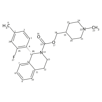 Cc1ccc([C@H]2c3ccccc3CCN2C(=O)OCC2CCN(C)CC2)c(F)c1